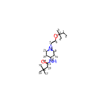 CCC(C)(C)OCCN1CCC(NC(=O)CC(C)(C)C)CC1